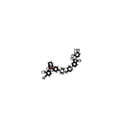 Cc1c(OC2CC3CCC(C2)N3C(=O)c2ccc(N3CCN(CC4CCN(c5ccc6c(c5)C(=O)N(C5CCC(=O)NC5=O)C6=O)CC4)CC3)cc2)ccc(C#N)c1Cl